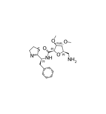 CO[C@H]1[C@H](OC)[C@H](C(=O)N[C@@H](Cc2ccccc2)C2=NCCS2)O[C@@H]1CN